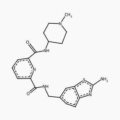 CN1CCC(NC(=O)c2cccc(C(=O)NCc3ccc4nc(N)sc4c3)n2)CC1